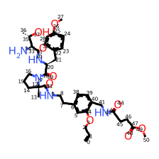 C=CCOc1cc(CCNC(=O)[C@]2(C)CCCN2C(=O)[C@H](Cc2ccc(OC)cc2)NC(=O)[C@@H](N)[C@H](C)O)ccc1CNC(=O)CCC(=O)OC